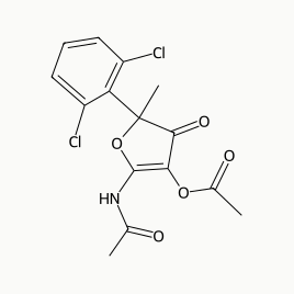 CC(=O)NC1=C(OC(C)=O)C(=O)C(C)(c2c(Cl)cccc2Cl)O1